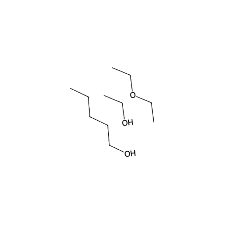 CCCCCO.CCO.CCOCC